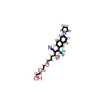 N#C/C(C(=O)CCCOCCOCCO)=C(\c1ccc2cc(N3CCCC3)ccc2c1)C(F)(F)F